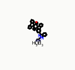 C/C=C\C(=C/C)c1nc(-c2ccc3c(c2)-c2ccccc2C32c3ccccc3C3(c4ccccc4-c4ccccc43)c3ccccc32)c2ccccc2n1